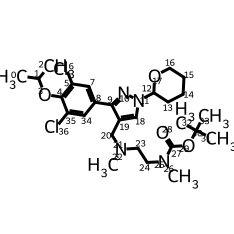 CC(C)Oc1c(Cl)cc(-c2nn(C3CCCCO3)cc2CN(C)CCN(C)C(=O)OC(C)(C)C)cc1Cl